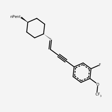 CCCCC[C@H]1CC[C@H](/C=C/C#Cc2ccc(OC(F)(F)F)c(F)c2)CC1